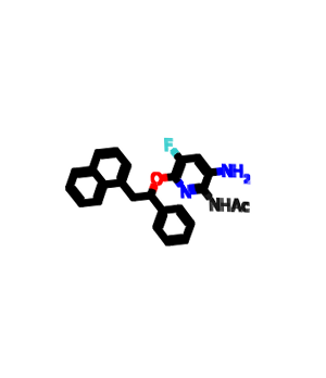 CC(=O)Nc1nc(OC(Cc2cccc3ccccc23)c2ccccc2)c(F)cc1N